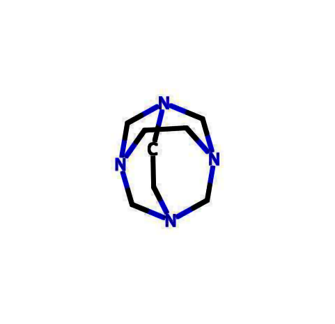 C1CN2CN3CCN(CN1C3)C2